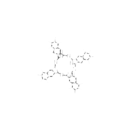 Cc1c(C)c(C)c2cc3c(cc2c1C)-c1nc-3nc2[nH]c(nc3nc(nc4[nH]c(n1)c1cc5c(C)c(C)c(C)c(C)c5cc41)-c1cc4c(C)c(C)c(C)c(C)c4cc1-3)c1cc3c(C)c(C)c(C)c(C)c3cc21